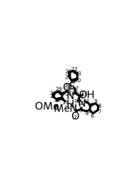 CNC(=O)C1CC2CCCCC2CN1CC(O)C(CSc1ccccc1)NC(=O)c1cccc(OC)c1C